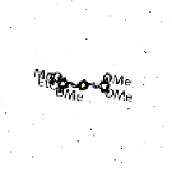 CCC(CC)Oc1c(OC)cc(/C=C/c2ccc(/C=C/c3cc(OC)cc(OC)c3)cc2)cc1OC